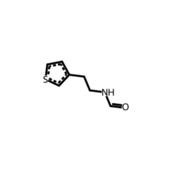 O=CNCCc1ccsc1